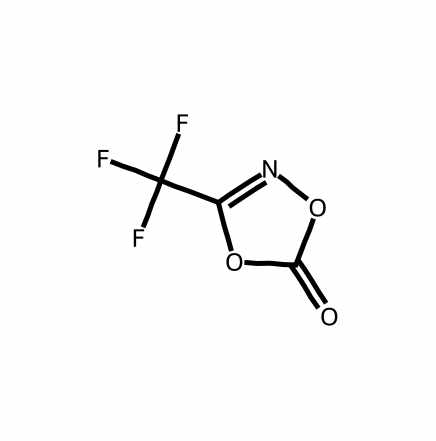 O=c1onc(C(F)(F)F)o1